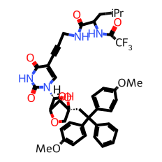 COc1ccc(C(C[C@@]23COC([C@H](n4cc(C#CCNC(=O)C(CC(C)C)NC(=O)C(F)(F)F)c(=O)[nH]c4=O)O2)[C@H]3O)(c2ccccc2)c2ccc(OC)cc2)cc1